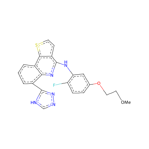 COCCOc1ccc(F)c(Nc2nc3c(-c4nnc[nH]4)cccc3c3sccc23)c1